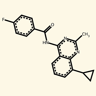 Cc1nc(NC(=O)c2ccc(F)cc2)c2cccc(C3CC3)c2n1